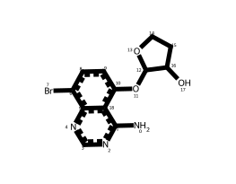 Nc1ncnc2c(Br)ccc(OC3OCCC3O)c12